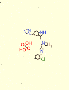 CN(CCc1c[nH]c2ccc(Cn3cncn3)cc12)CC1CN(Cc2ccccc2Cl)C1.O=C(O)C(=O)O